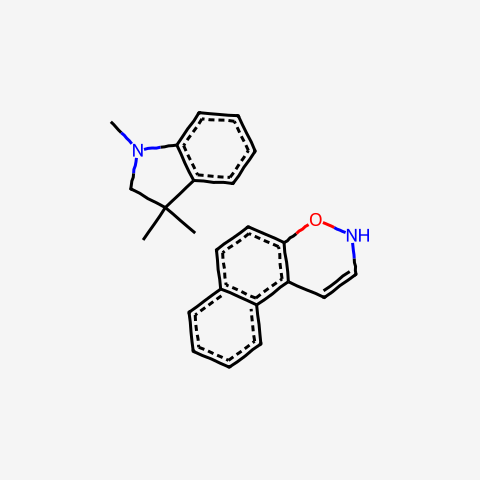 C1=Cc2c(ccc3ccccc23)ON1.CN1CC(C)(C)c2ccccc21